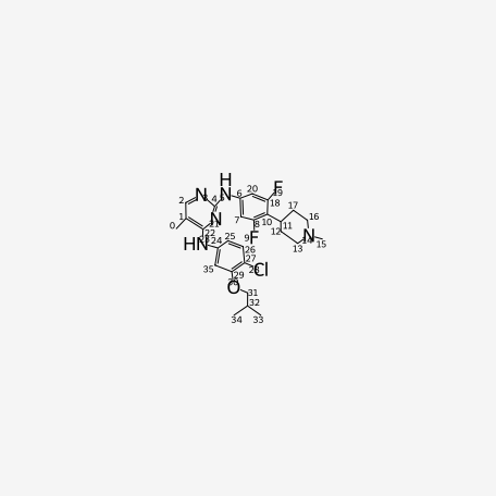 Cc1cnc(Nc2cc(F)c(C3CCN(C)CC3)c(F)c2)nc1Nc1ccc(Cl)c(OCC(C)C)c1